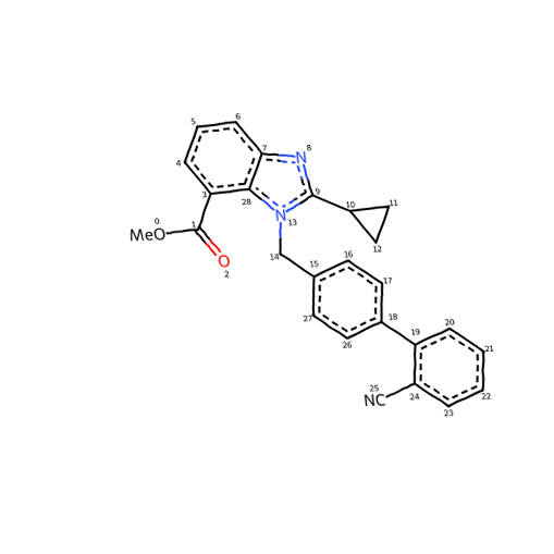 COC(=O)c1cccc2nc(C3CC3)n(Cc3ccc(-c4ccccc4C#N)cc3)c12